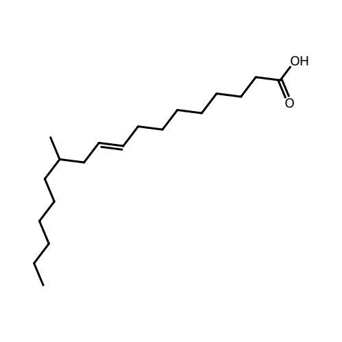 CCCCCCC(C)CC=CCCCCCCCC(=O)O